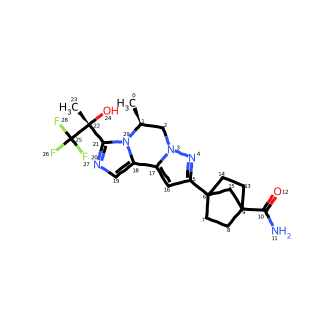 C[C@H]1Cn2nc(C34CCC(C(N)=O)(CC3)C4)cc2-c2cnc([C@@](C)(O)C(F)(F)F)n21